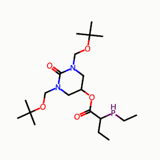 CCPC(CC)C(=O)OC1CN(COC(C)(C)C)C(=O)N(COC(C)(C)C)C1